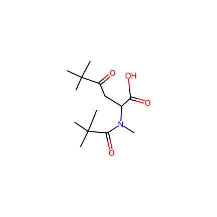 CN(C(=O)C(C)(C)C)C(CC(=O)C(C)(C)C)C(=O)O